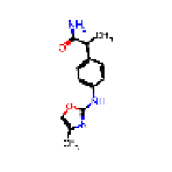 CC(C(N)=O)c1ccc(Nc2nc(C(F)(F)F)co2)cc1